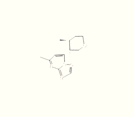 Cc1cc([C@H]2CNCC[C@@H]2C)n2ncnc2n1